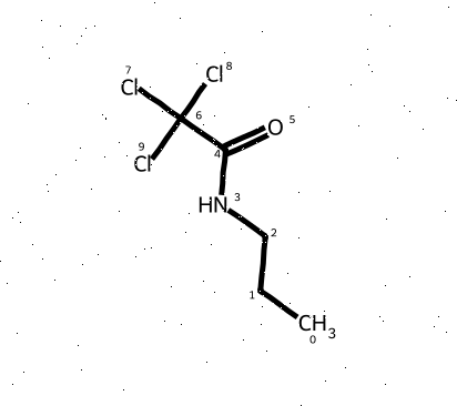 CCCNC(=O)C(Cl)(Cl)Cl